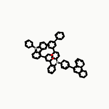 c1ccc(-c2cccc(-c3ccc(N(c4ccc(-c5cc6ccccc6c6ccccc56)cc4)c4ccccc4-c4cccc(-c5cccc6c5c5ccccc5n6-c5ccccc5)c4)cc3)c2)cc1